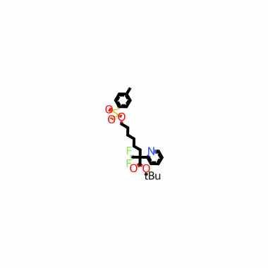 Cc1ccc(S(=O)(=O)OCCCCCCC(C(=O)OC(C)(C)C)(c2ccccn2)C(F)F)cc1